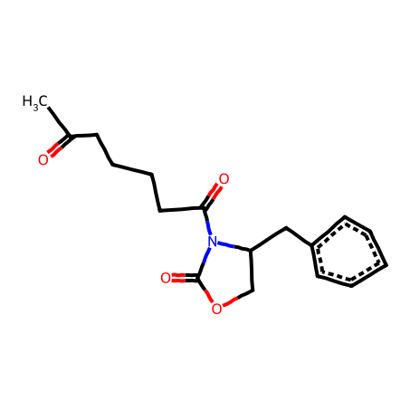 CC(=O)CCCCC(=O)N1C(=O)OCC1Cc1ccccc1